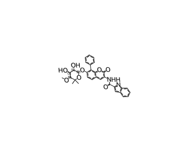 CO[C@@H]1[C@@H](O)[C@H](O)[C@H](Oc2ccc3cc(NC(=O)c4cc5ccccc5[nH]4)c(=O)oc3c2-c2ccccc2)OC1(C)C